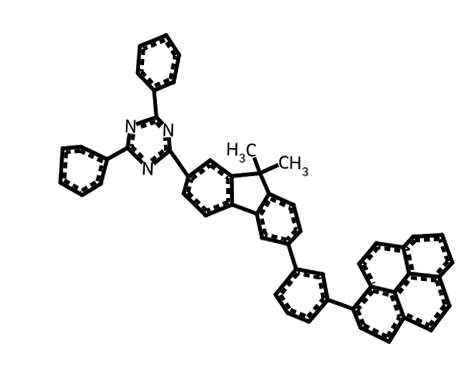 CC1(C)c2ccc(-c3cccc(-c4ccc5ccc6cccc7ccc4c5c67)c3)cc2-c2ccc(-c3nc(-c4ccccc4)nc(-c4ccccc4)n3)cc21